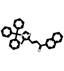 Cc1c(/C=C/C(=O)c2ccc3ccccc3c2)ncn1C(c1ccccc1)(c1ccccc1)c1ccccc1